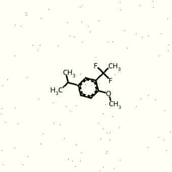 COc1ccc(C(C)C)cc1C(C)(F)F